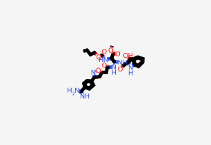 CCCCOC(=O)NC(C(=O)OC)[C@H](NC(=O)CC1CC(c2ccc(C(=N)N)cc2)=NO1)NC(=O)c1[nH]c2ccccc2c1O